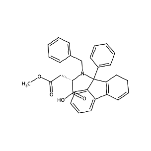 COC(=O)C[C@@H](C(=O)O)N(Cc1ccccc1)C1(c2ccccc2)C2=C(C=CCC2)c2ccccc21